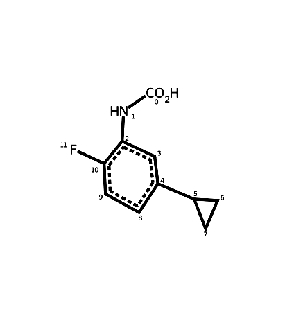 O=C(O)Nc1cc(C2CC2)ccc1F